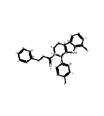 Cc1ccc(C2c3[nH]c4c(C)cccc4c3CCN2C(=O)CCc2ccccc2)cc1